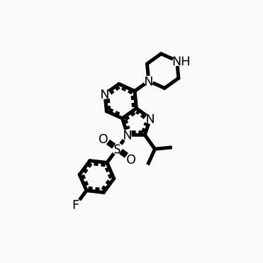 CC(C)c1nc2c(N3CCNCC3)cncc2n1S(=O)(=O)c1ccc(F)cc1